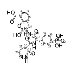 O=C(O)c1cccc2c1OB(O)[C@@H](NC(=O)[C@@H](NC(=O)c1ccn[nH]c1=O)c1ccc(P(=O)(O)O)cc1)C2